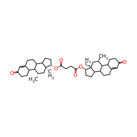 C[C@@H]1C[C@]2(C)C(CC[C@H]2OC(=O)CCC(=O)O[C@H]2CCC3C4CCC5=CC(=O)CCC5C4[C@@H](C)C[C@@]32C)C2CCC3=CC(=O)CCC3C21